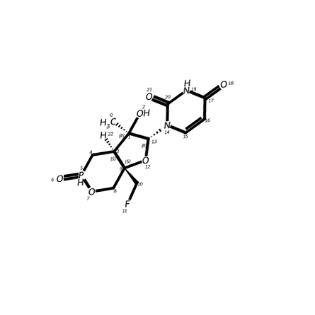 C[C@@]1(O)[C@@H]2C[PH](=O)OC[C@@]2(CF)O[C@H]1n1ccc(=O)[nH]c1=O